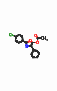 CC(=O)Oc1oc(-c2ccc(Cl)cc2)nc1-c1ccccc1